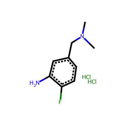 CN(C)Cc1ccc(F)c(N)c1.Cl.Cl